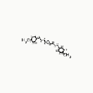 Cc1ccc(CCC=COC=CCCc2ccc(C)cc2)cc1